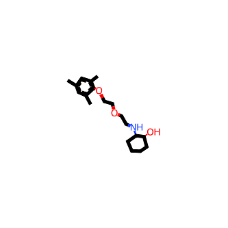 Cc1cc(C)c(OCCOCCN[C@@H]2CCCC[C@H]2O)c(C)c1